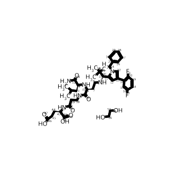 CC(C)C[C@H](N[C@@H](CCN[C@@H](c1cc(-c2cc(F)ccc2F)cn1Cc1ccccc1)C(C)(C)C)C(=O)NCCC(=O)N[C@H](CCC(=O)O)C(=O)O)C(N)=O.OCCO